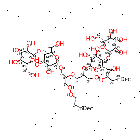 CCCCCCCCCCCCOOCC(CO[C@H]1O[C@H](CO)[C@@H](O[C@H]2O[C@H](CO)[C@@H](O)[C@H](O)[C@H]2O)[C@H](O)[C@H]1O)OCC(COOCCCCCCCCCCCC)O[C@@H]1O[C@H](CO)[C@@H](O[C@H]2O[C@H](CO)[C@@H](O)[C@H](O)[C@H]2O)[C@H](O)[C@H]1O